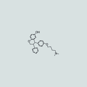 CN(C)CCCCOc1ccc(C2c3cc(O)ccc3OCC2c2ccccc2)cc1